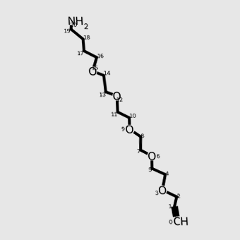 C#CCOCCOCCOCCOCCOCCCCN